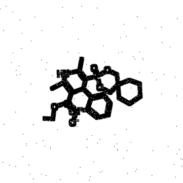 CCOC(=O)C1=C(C)NC(C)=C(P2(=O)OCC3(CCCCC3)CO2)C1c1ccccc1[N+](=O)[O-]